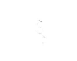 COC(=O)C(N)C1CCN(C(=O)OC(C)(C)C)CC1